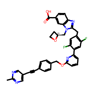 Cc1ncc(C#Cc2ccc(COc3cccc(-c4cc(F)c(Cc5nc6ccc(C(=O)O)cc6n5C[C@@H]5CCO5)cc4F)n3)cc2)cn1